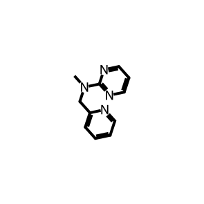 CN(Cc1ccccn1)c1ncccn1